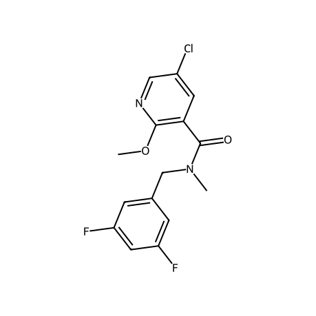 COc1ncc(Cl)cc1C(=O)N(C)Cc1cc(F)cc(F)c1